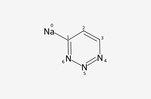 [Na][c]1ccnnn1